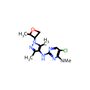 CNc1nc(Nc2c(C)nn(C3COC3C)c2C)ncc1Cl